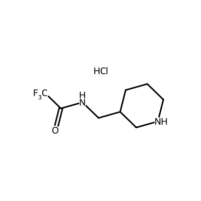 Cl.O=C(NCC1CCCNC1)C(F)(F)F